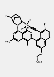 COCOc1cc(-c2nc(OC)c3c(N4CC5CC(O)C4C5)nc(SC)nc3c2F)c2c(C#C[Si](C(C)C)(C(C)C)C(C)C)c(F)ccc2c1